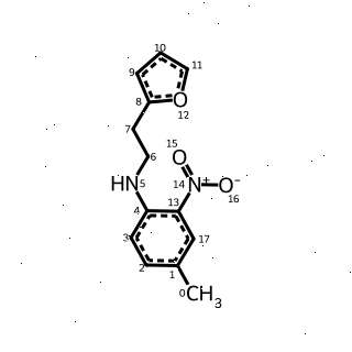 Cc1ccc(NCCc2ccco2)c([N+](=O)[O-])c1